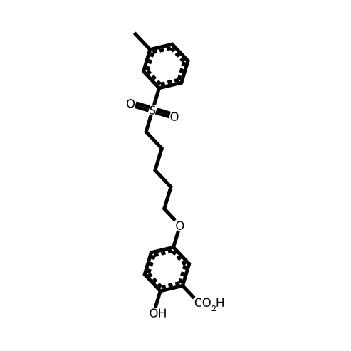 Cc1cccc(S(=O)(=O)CCCCCOc2ccc(O)c(C(=O)O)c2)c1